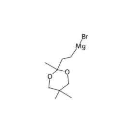 CC1(C)COC(C)(C[CH2][Mg][Br])OC1